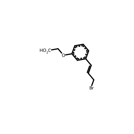 O=C(O)COc1cccc(C=CCBr)c1